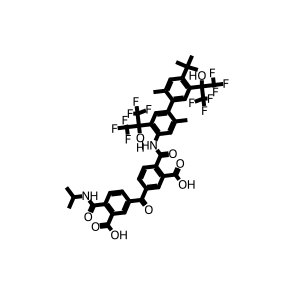 Cc1cc(NC(=O)c2ccc(C(=O)c3ccc(C(=O)NC(C)C)c(C(=O)O)c3)cc2C(=O)O)c(C(O)(C(F)(F)F)C(F)(F)F)cc1-c1cc(C(O)(C(F)(F)F)C(F)(F)F)c(C(C)(C)C)cc1C